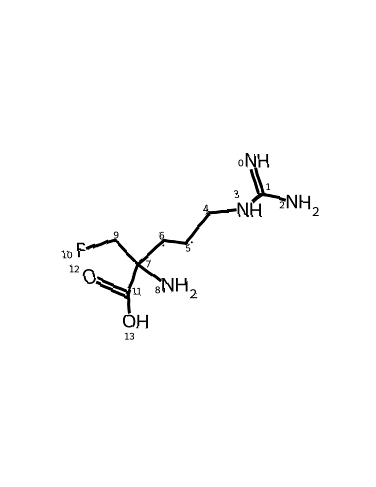 N=C(N)NC[CH][CH]C(N)(CF)C(=O)O